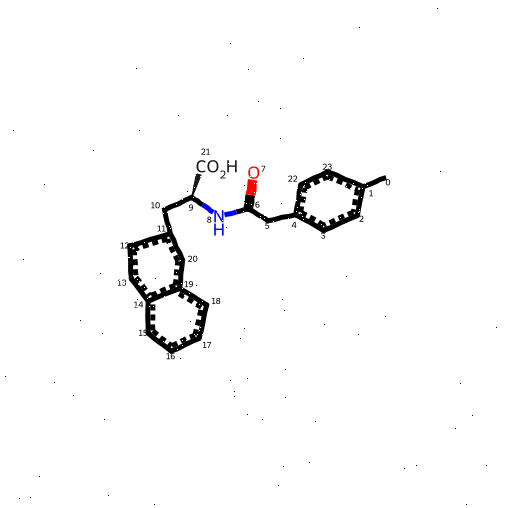 Cc1ccc(CC(=O)N[C@@H](Cc2ccc3ccccc3c2)C(=O)O)cc1